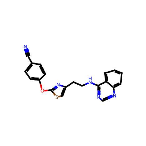 N#Cc1ccc(Oc2nc(CCNc3ncnc4ccccc34)cs2)cc1